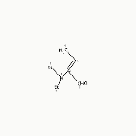 CC=C([C]=O)N(CC)CC